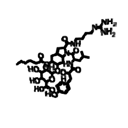 CCCCCC(=O)OC1CC2CC(C(=O)NCCCCN=C(N)N)N(C(=O)C(CC(C)C)NC(=O)C(O)Cc3ccc(O)cc3)C2CC1OC1OC(C(=O)O)C(O)C(O)C1O